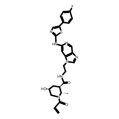 C=CC(=O)N1C[C@H](O)C[C@@H](C(=O)NCCn2cnc3cnc(Nc4ncc(-c5ccc(F)cc5)s4)cc32)[C@@H]1C